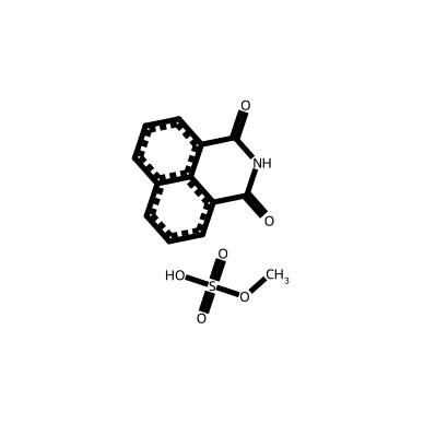 COS(=O)(=O)O.O=C1NC(=O)c2cccc3cccc1c23